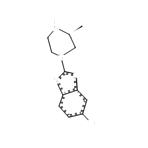 C[C@H]1CN(c2nc3ccc(C(F)(F)F)cc3s2)CCN1